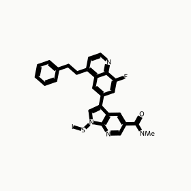 CNC(=O)c1cnc2c(c1)c(-c1cc(F)c3nccc(CCc4ccccc4)c3c1)cn2SI